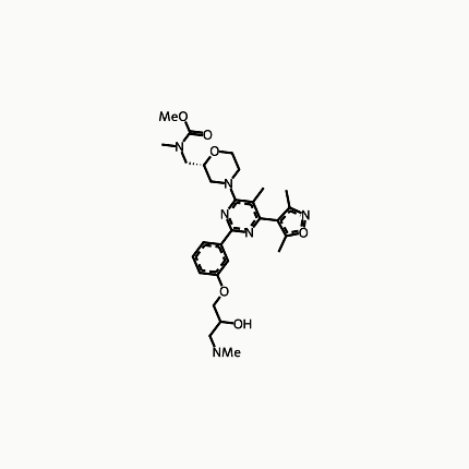 CNCC(O)COc1cccc(-c2nc(-c3c(C)noc3C)c(C)c(N3CCO[C@@H](CN(C)C(=O)OC)C3)n2)c1